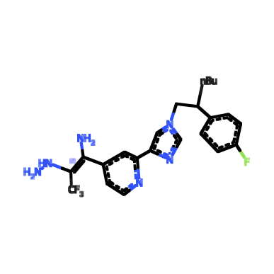 CCCCC(Cn1cnc(-c2cc(/C(N)=C(/NN)C(F)(F)F)ccn2)c1)c1ccc(F)cc1